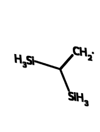 [CH2]C([SiH3])[SiH3]